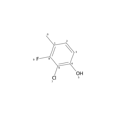 Cc1ccc(O)c(Cl)c1F